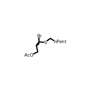 CCCCCCS/C(Br)=C\COC(C)=O